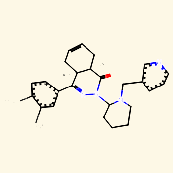 COc1ccc(C2=NN(C3CCCCN3Cc3cccnc3)C(=O)[C@@H]3CC=CC[C@H]23)cc1OC